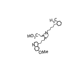 COc1ccc2nccc(CCC[C@@H]3CCN(CCCCCc4ccccc4C)C[C@@H]3CCC(=O)O)c2c1